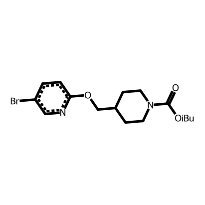 CC(C)COC(=O)N1CCC(COc2ccc(Br)cn2)CC1